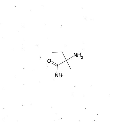 CCC(C)(N)C([NH])=O